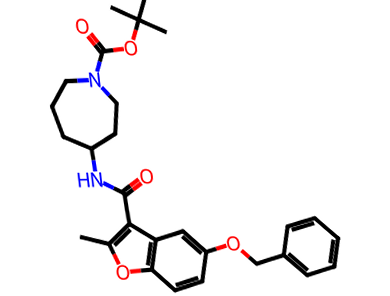 Cc1oc2ccc(OCc3ccccc3)cc2c1C(=O)NC1CCCN(C(=O)OC(C)(C)C)CC1